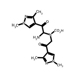 Cc1nn(C)cc1C(=O)CN(C(=O)O)C(N)C(=O)c1cn(C)nc1C